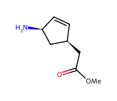 COC(=O)C[C@@H]1C=C[C@H](N)C1